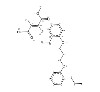 CCCc1ccccc1OCCCOc1cccc(OC(C(=O)OC)=C(C)C(=O)O)c1CC